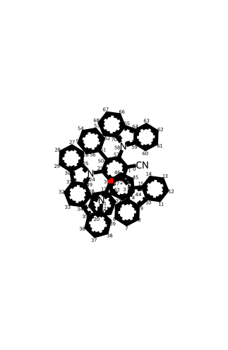 N#Cc1c(-n2c3ccccc3c3ccccc32)c(-c2ccccc2)c(-n2c3ccccc3c3ccc4c5ccccc5n(-c5ccccc5)c4c32)c(-c2ccccc2)c1-n1c2ccccc2c2ccccc21